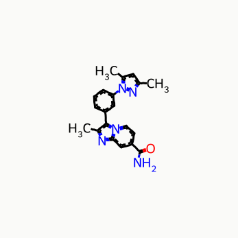 Cc1cc(C)n(-c2cccc(-c3c(C)nc4cc(C(N)=O)ccn34)c2)n1